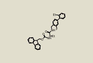 CCc1ccccc1-c1ccc(CNC(=O)N(CC)NC(=O)OCC2c3ccccc3-c3ccccc32)c(F)c1